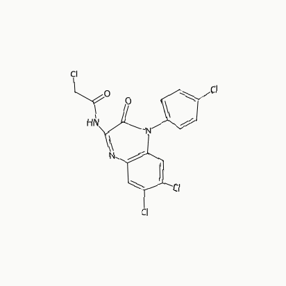 O=C(CCl)Nc1nc2cc(Cl)c(Cl)cc2n(-c2ccc(Cl)cc2)c1=O